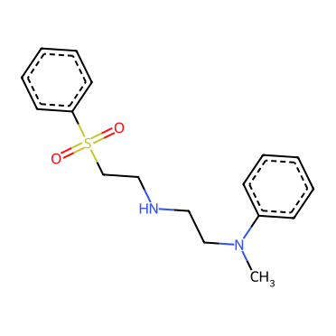 CN(CCNCCS(=O)(=O)c1ccccc1)c1ccccc1